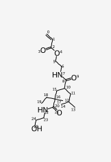 C=CC(=O)OCCNC(=O)C(CC(C)C)CC(C)(CC)C(=O)NCCO